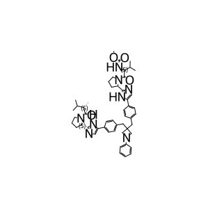 COC(=O)N[C@H](C(=O)N1CCCC1c1ncc(-c2ccc(CC3(Cc4ccc(-c5cnc([C@@H]6CCCN6C(=O)[C@@H](C)C(C)C)[nH]5)cc4)CN(c4ccccc4)C3)cc2)[nH]1)C(C)C